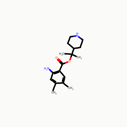 Cc1cc(N)c(C(=O)OC(C)(C)C2CCNCC2)cc1C